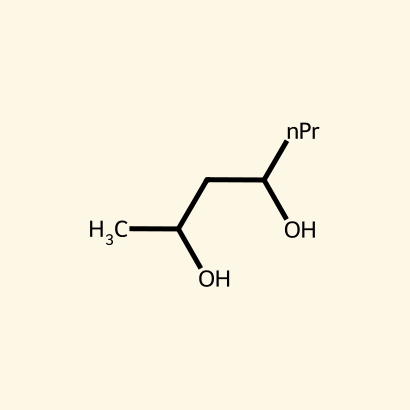 CCCC(O)CC(C)O